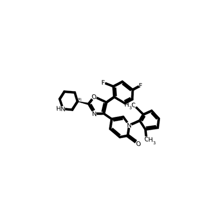 Cc1cccc(C)c1-n1cc(-c2nc([C@@H]3CCCNC3)oc2-c2ccc(F)cc2F)ccc1=O